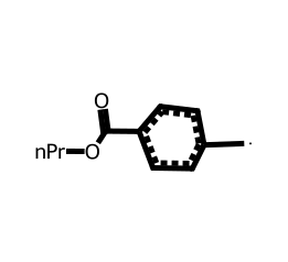 [CH2]c1ccc(C(=O)OCCC)cc1